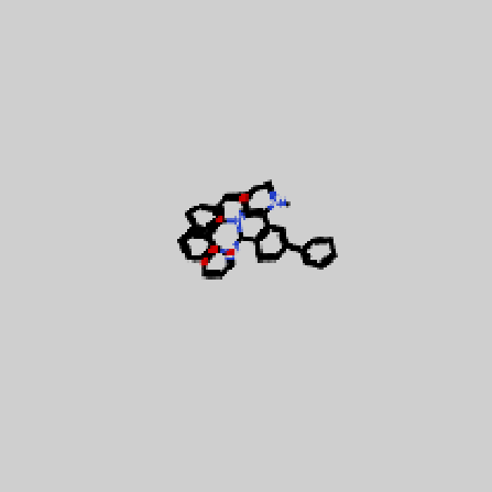 Cc1ccccc1-c1cccc[n+]1C(c1ccc(-c2ccccc2)cc1-c1cccc[n+]1C)[n+]1ccccc1-c1ccccc1C